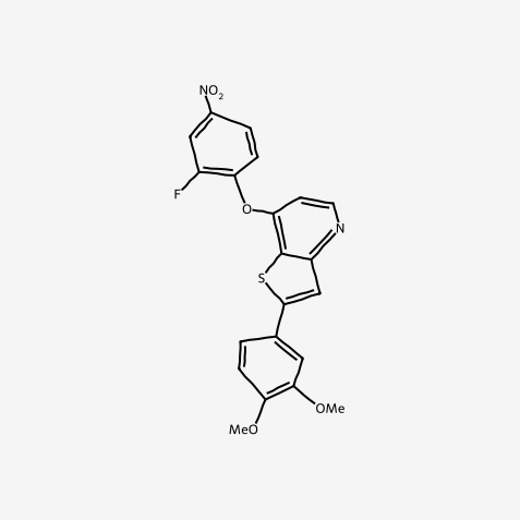 COc1ccc(-c2cc3nccc(Oc4ccc([N+](=O)[O-])cc4F)c3s2)cc1OC